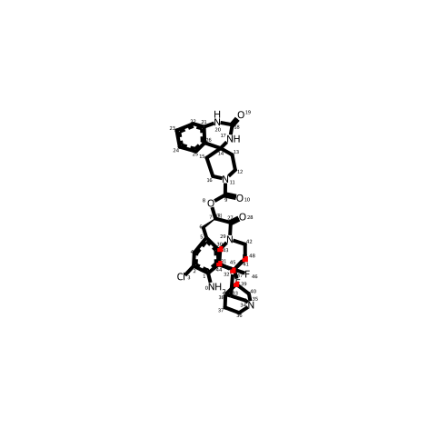 Nc1c(Cl)cc(C[C@@H](OC(=O)N2CCC3(CC2)NC(=O)Nc2ccccc23)C(=O)N2CCN(C3CN4CCC3CC4)CC2)cc1C(F)(F)F